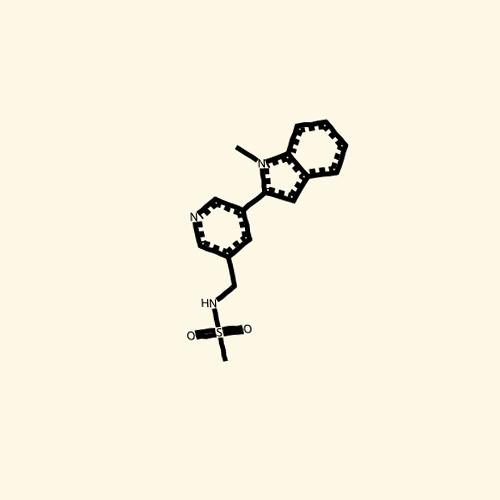 Cn1c(-c2cncc(CNS(C)(=O)=O)c2)cc2ccccc21